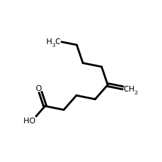 C=C(CCCC)CCCC(=O)O